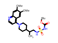 COc1cc2nccc(N3CCC(C(C)CNS(=O)(=O)NC(=O)OC(C)(C)C)CC3)c2cc1OC